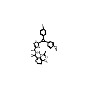 COc1ccc(C2C(c3ccc(F)cc3)C2c2nc([C@H](C)NC(=O)c3nccc(OC)c3OC(C)=O)no2)cc1